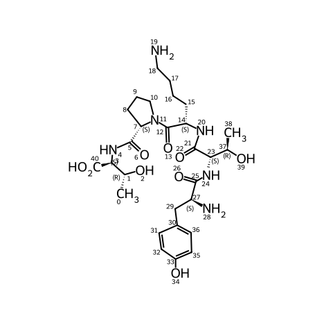 C[C@@H](O)[C@H](NC(=O)[C@@H]1CCCN1C(=O)[C@H](CCCCN)NC(=O)[C@@H](NC(=O)[C@@H](N)Cc1ccc(O)cc1)[C@@H](C)O)C(=O)O